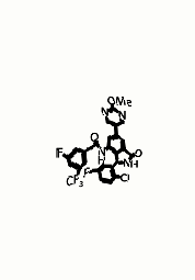 COc1ncc(-c2cc(NC(=O)c3cc(F)cc(C(F)(F)F)c3)c3c(c2)C(=O)NC3c2cc(F)ccc2Cl)cn1